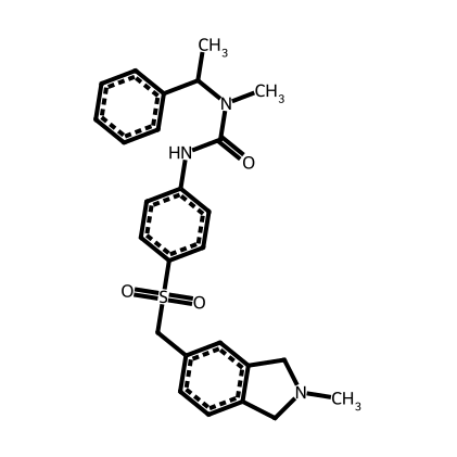 CC(c1ccccc1)N(C)C(=O)Nc1ccc(S(=O)(=O)Cc2ccc3c(c2)CN(C)C3)cc1